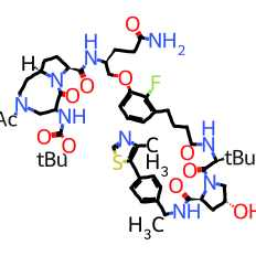 CC(=O)N1CC[C@H]2CC[C@@H](C(=O)N[C@@H](CCC(N)=O)COc3cccc(CCCC(=O)N[C@H](C(=O)N4C[C@H](O)C[C@H]4C(=O)N[C@@H](C)c4ccc(-c5scnc5C)cc4)C(C)(C)C)c3F)N2C(=O)[C@@H](NC(=O)OC(C)(C)C)C1